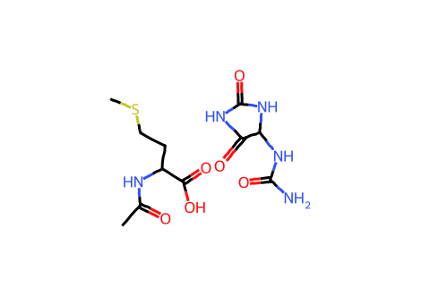 CSCCC(NC(C)=O)C(=O)O.NC(=O)NC1NC(=O)NC1=O